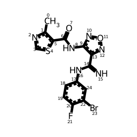 Cc1ncsc1C(=O)Nc1nonc1C(=N)Nc1ccc(F)c(Br)c1